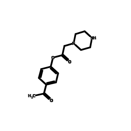 CC(=O)c1ccc(OC(=O)CN2CCNCC2)cc1